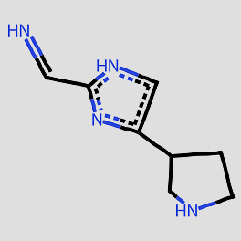 N=Cc1nc(C2CCNC2)c[nH]1